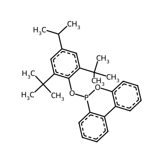 CC(C)c1cc(C(C)(C)C)c(OP2Oc3ccccc3-c3ccccc32)c(C(C)(C)C)c1